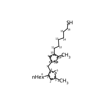 CCCCCCc1cc(C)sc1Cc1cc(CCCCCCS)c(C)s1